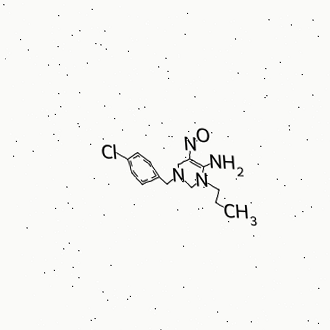 CCCN1CN(Cc2ccc(Cl)cc2)CC(N=O)=C1N